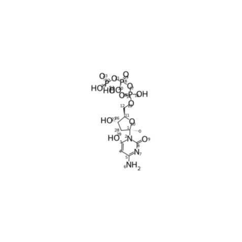 C[C@@]1(n2ccc(N)nc2=O)O[C@H](COP(=O)(O)OP(=O)(O)OP(=O)(O)O)[C@@H](O)[C@H]1O